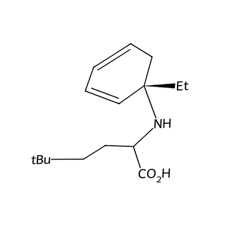 CC[C@@]1(NC(CCC(C)(C)C)C(=O)O)C=CC=CC1